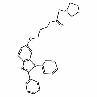 O=C(CCCCOc1ccc2nc(-c3ccccc3)n(-c3ccccc3)c2c1)CN1CCCC1